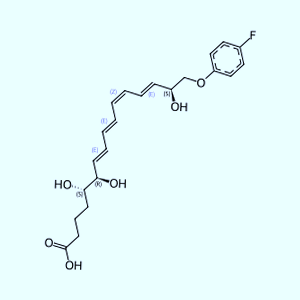 O=C(O)CCC[C@H](O)[C@H](O)/C=C/C=C/C=C\C=C\[C@H](O)COc1ccc(F)cc1